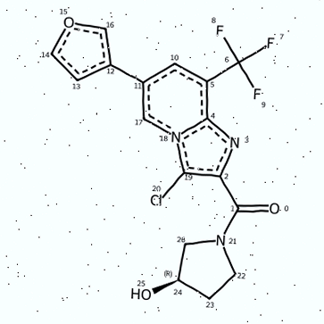 O=C(c1nc2c(C(F)(F)F)cc(-c3ccoc3)cn2c1Cl)N1CC[C@@H](O)C1